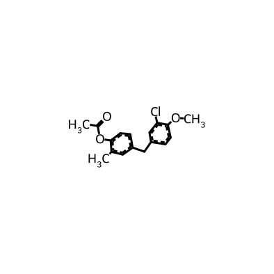 COc1ccc(Cc2ccc(OC(C)=O)c(C)c2)cc1Cl